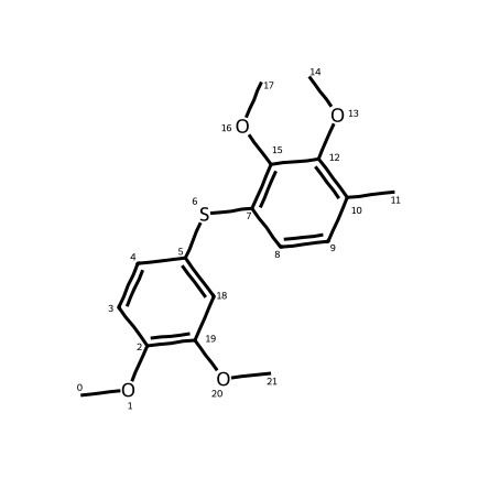 COc1ccc(Sc2ccc(C)c(OC)c2OC)cc1OC